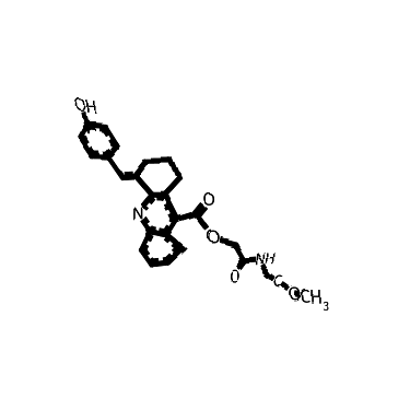 COCCNC(=O)COC(=O)c1c2c(nc3ccccc13)C(=Cc1ccc(O)cc1)CCC2